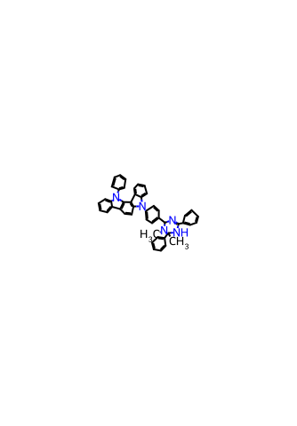 CN1C(c2ccc(-n3c4ccccc4c4c3ccc3c5ccccc5n(-c5ccccc5)c34)cc2)N=C(c2ccccc2)NC1(C)c1ccccc1